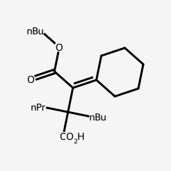 CCCCOC(=O)C(=C1CCCCC1)C(CCC)(CCCC)C(=O)O